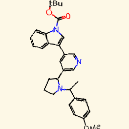 COc1ccc(C(C)N2CCCC2c2cncc(-c3cn(C(=O)OC(C)(C)C)c4ccccc34)c2)cc1